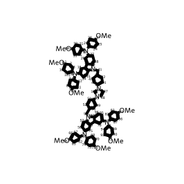 COc1ccc(N(c2ccc(OC)cc2)c2ccc3c(c2)c2cc(N(c4ccc(OC)cc4)c4ccc(OC)cc4)ccc2n3Cc2ccc(-n3cc[n+](-c4ccc(Cn5c6ccc(N(c7ccc(OC)cc7)c7ccc(OC)cc7)cc6c6cc(N(c7ccc(OC)cc7)c7ccc(OC)cc7)ccc65)cc4)c3)cc2)cc1